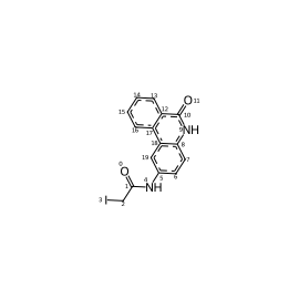 O=C(CI)Nc1ccc2[nH]c(=O)c3ccccc3c2c1